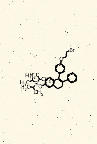 CC(C)[Si](Oc1ccc2c(c1)CCC(c1ccccc1)=C2c1ccc(OCCBr)cc1)(C(C)C)C(C)C